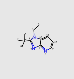 CCn1c(C(C)(C)C)nc2ncccc21